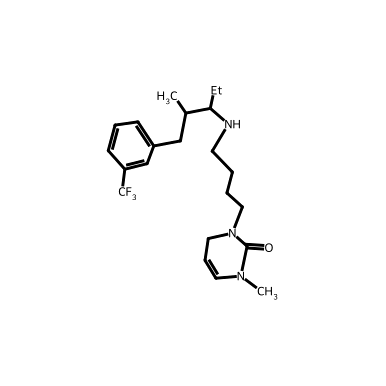 CCC(NCCCCN1CC=CN(C)C1=O)C(C)Cc1cccc(C(F)(F)F)c1